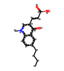 CCCCc1ccc2c(c1)c(=O)c(C=CC(=O)O)cn2C